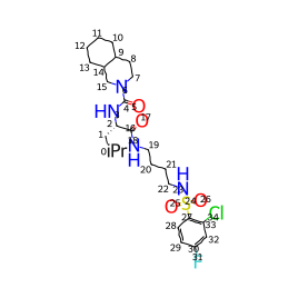 CC(C)C[C@H](NC(=O)N1CCC2CCCCC2C1)C(=O)NCCCCNS(=O)(=O)c1ccc(F)cc1Cl